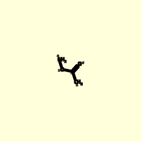 CC(=O)O[SiH3]